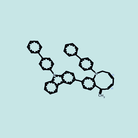 C=C1/C=C\C=C/CN(c2ccc(-c3ccccc3)cc2)c2cc(-c3ccc4c(c3)c3ccccc3n4-c3ccc(-c4ccccc4)cc3)ccc21